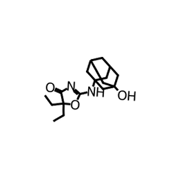 CCC1(CC)OC(NC23CC4CC(CC(O)(C4)C2)C3)=NC1=O